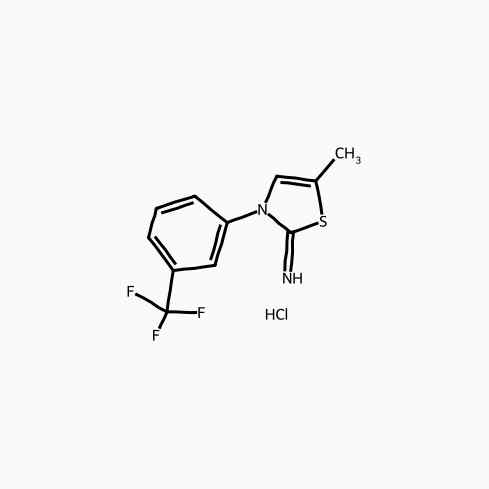 Cc1cn(-c2cccc(C(F)(F)F)c2)c(=N)s1.Cl